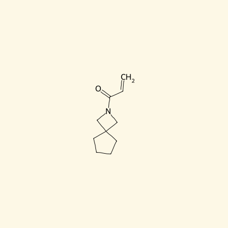 C=CC(=O)N1CC2(CCCC2)C1